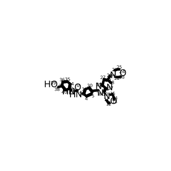 O=C(Nc1ccc(-c2nc(N3CCOCC3)c3ncc(CN4CCOCC4)cc3n2)cc1)Nc1cccc(CO)c1